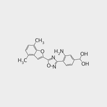 Cc1ccc(C)c2oc(-c3nc(-c4ccc(C(O)O)cc4N)no3)cc12